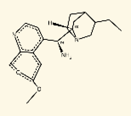 CCC1CN2CCC1C[C@H]2[C@@H](N)c1ccnc2ccc(OC)cc12